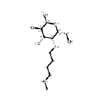 CNCCCCS[C@@H]1[C@H](O)[C@@H](O)[C@@H](O)O[C@@H]1CO